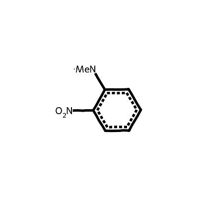 C[N]c1ccccc1[N+](=O)[O-]